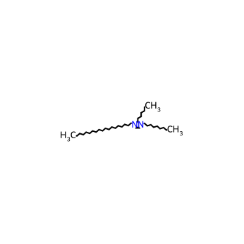 CCCCCCCCCCCCCCCCCCCN1C=CN(CCCCCCCCC)C1CCCCCC